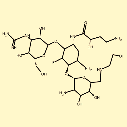 N=C(N)N[C@@H]1C(O)[C@@H](CO)OC(OC2C(F)[C@H](O[C@H]3OC(CNCCO)[C@@H](O)C(O)C3N)C(N)C[C@H]2NC(=O)[C@@H](O)CCN)[C@@H]1O